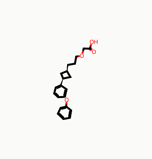 O=C(O)COCCC[C@H]1C[C@@H](c2cccc(Oc3ccccc3)c2)C1